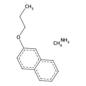 C.CCCOc1ccc2ccccc2c1.N